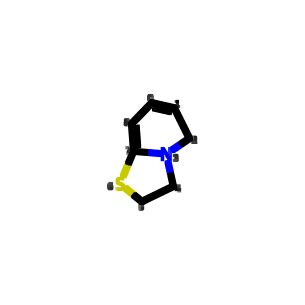 C1=CCN2CCSC2=C1